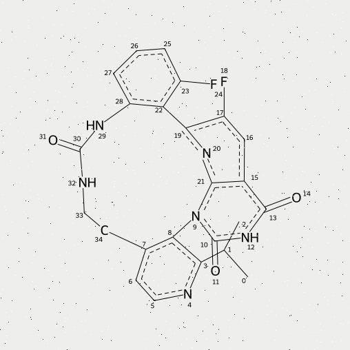 CC(C)c1nccc2c1-n1c(=O)[nH]c(=O)c3cc(F)c(nc31)-c1c(F)cccc1NC(=O)NCC2